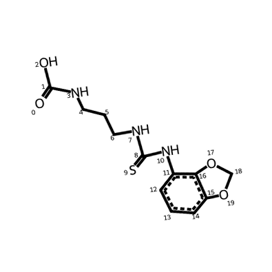 O=C(O)NCCCNC(=S)Nc1cccc2c1OCO2